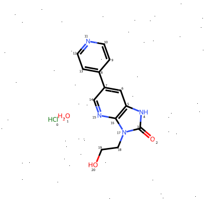 Cl.O.O=c1[nH]c2cc(-c3ccncc3)cnc2n1CCO